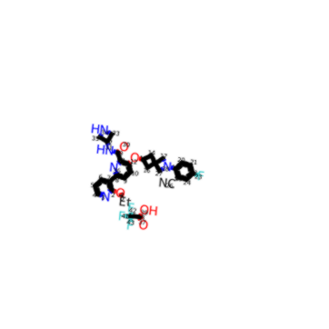 CCOc1ncccc1-c1ccc(OC2CC3(C2)CN(c2ccc(F)cc2C#N)C3)c(C(=O)NC2CNC2)n1.O=C(O)C(F)(F)F